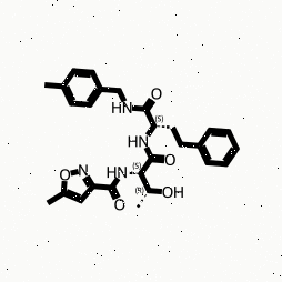 Cc1ccc(CNC(=O)[C@H](CCc2ccccc2)NC(=O)[C@@H](NC(=O)c2cc(C)on2)[C@@H](C)O)cc1